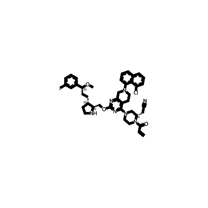 C=CC(=O)N1CCN(c2nc(OC[C@H]3NCC[C@@H]3CC[C@H](OC)c3cccc(I)c3)nc3c2CCN(c2cccc4cccc(Cl)c24)C3)C[C@@H]1CC#N